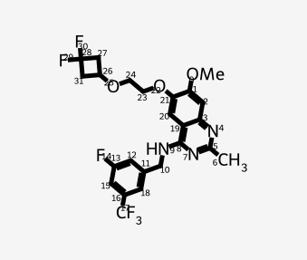 COc1cc2nc(C)nc(NCc3cc(F)cc(C(F)(F)F)c3)c2cc1OCCOC1CC(F)(F)C1